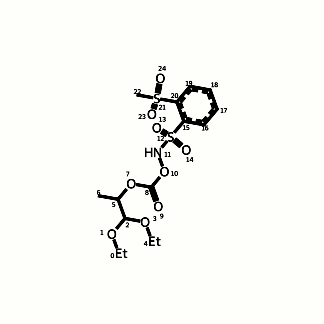 CCOC(OCC)C(C)OC(=O)ONS(=O)(=O)c1ccccc1S(C)(=O)=O